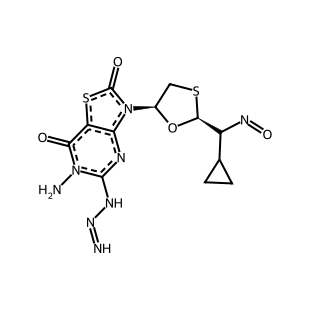 N=NNc1nc2c(sc(=O)n2[C@H]2CS[C@@H](C(N=O)C3CC3)O2)c(=O)n1N